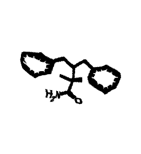 CC(C)(C(N)=O)C(Cc1ccccc1)Cc1ccccc1